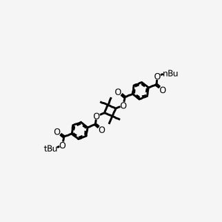 CCCCOC(=O)c1ccc(C(=O)OC2C(C)(C)C(OC(=O)c3ccc(C(=O)OC(C)(C)C)cc3)C2(C)C)cc1